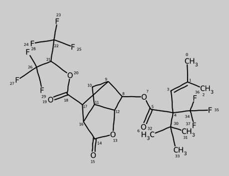 CC(C)=CC(C(=O)OC1C2CC3C1OC(=O)C3C2C(=O)OC(C(F)(F)F)C(F)(F)F)(C(C)(C)C)C(F)(F)F